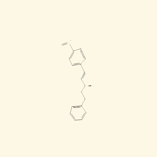 N[C@H](/C=C/c1ccc([N+](=O)[O-])cc1)CCc1ccccc1